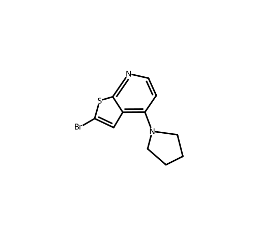 Brc1cc2c(N3CCCC3)ccnc2s1